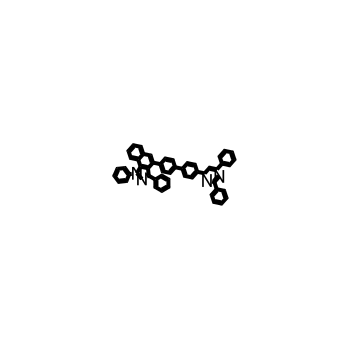 c1ccc(-c2cc(-c3ccc(-c4ccc(-c5cc6ccccc6c6c5c(-c5ccccc5)nn6-c5ccccc5)cc4)cc3)nc(-c3ccccc3)n2)cc1